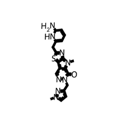 Cn1ccc(Cn2ncc3c4sc(CC5=CC=CC(N)N5)nc4n(C)c3c2=O)n1